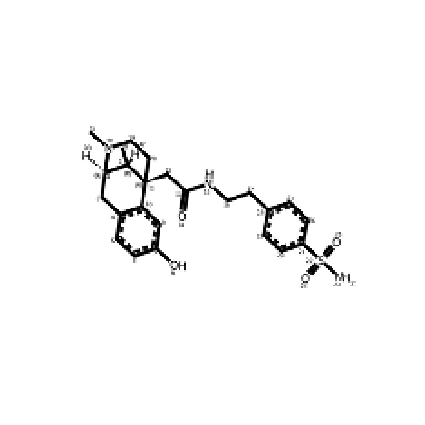 C[C@H]1[C@H]2Cc3ccc(O)cc3[C@@]1(CC(=O)NCCc1ccc(S(N)(=O)=O)cc1)CCN2C